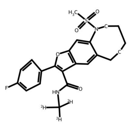 [2H]C([2H])([2H])NC(=O)c1c(-c2ccc(F)cc2)oc2cc3c(cc12)CCCCCN3S(C)(=O)=O